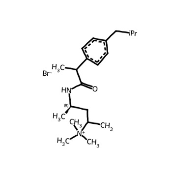 CC(C)Cc1ccc(C(C)C(=O)N[C@H](C)CC(C)[N+](C)(C)C)cc1.[Br-]